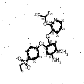 CCS(=O)(=O)c1ccc(Oc2cc(N)c(N)cc2Oc2cccnc2OC(F)F)cc1